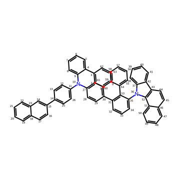 c1ccc(-c2ccccc2N(c2ccc(-c3ccc4ccccc4c3)cc2)c2ccc(-c3cccc(-n4c5ccccc5c5ccc6ccccc6c54)c3-c3ccccc3)cc2)cc1